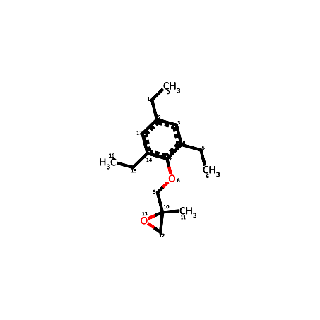 CCc1cc(CC)c(OCC2(C)CO2)c(CC)c1